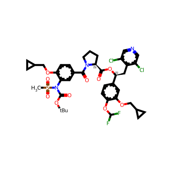 CC(C)(C)OC(=O)N(c1cc(C(=O)N2CCC[C@H]2C(=O)O[C@@H](Cc2c(Cl)cncc2Cl)c2ccc(OC(F)F)c(OCC3CC3)c2)ccc1OCC1CC1)S(C)(=O)=O